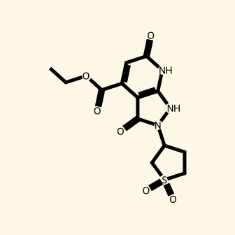 CCOC(=O)c1cc(=O)[nH]c2[nH]n(C3CCS(=O)(=O)C3)c(=O)c12